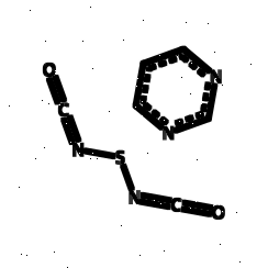 O=C=NSN=C=O.c1cncnc1